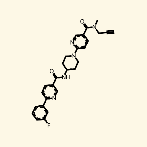 C#CCN(C)C(=O)c1ccc(N2CCC(NC(=O)c3ccc(-c4cccc(F)c4)nc3)CC2)nc1